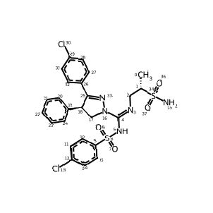 C[C@@H](C/N=C(/NS(=O)(=O)c1ccc(Cl)cc1)N1C[C@@H](c2ccccc2)C(c2ccc(Cl)cc2)=N1)S(N)(=O)=O